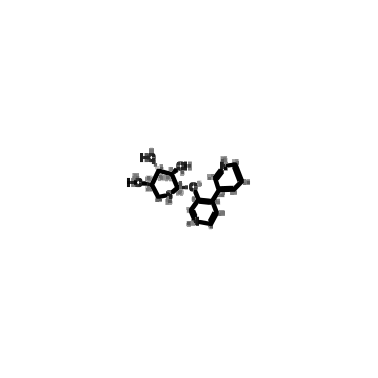 O[C@@H]1[C@@H](O)[C@H](Oc2cnccc2-c2cccnc2)SC[C@H]1O